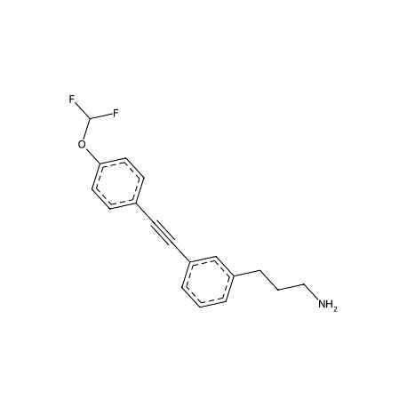 NCCCc1cccc(C#Cc2ccc(OC(F)F)cc2)c1